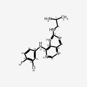 CC(N)CNc1ncc2ncnc(Nc3ccc(F)c(Cl)c3)c2n1